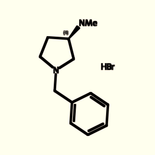 Br.CN[C@@H]1CCN(Cc2ccccc2)C1